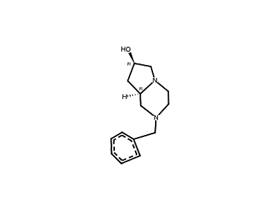 O[C@@H]1C[C@@H]2CN(Cc3ccccc3)CCN2C1